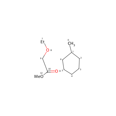 CC1CCCCC1.CCOCC(=O)OC